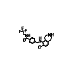 O=C(NCC(F)(F)F)c1ccc(CNc2c(Cl)ccc3c2CCNCC3)cc1